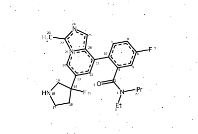 CCN(C(=O)c1cc(F)ccc1-c1cc(C2(F)CCNC2)cn2c(C)ncc12)C(C)C